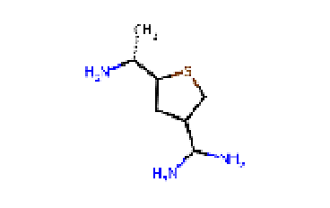 C[C@@H](N)C1CC(C(N)N)CS1